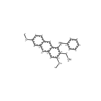 COc1ccc2cc3c(Nc4ccccc4)c(CO)c(OC)cc3nc2c1